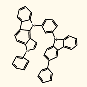 c1ccc(-c2ccc3c(c2)c2ccccc2n3-c2cccc(-n3c4ccccc4c4ccc5c(ccn5-c5ccccc5)c43)c2)cc1